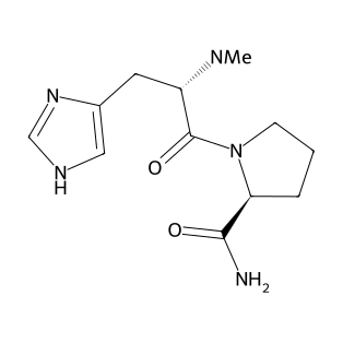 CN[C@@H](Cc1c[nH]cn1)C(=O)N1CCC[C@H]1C(N)=O